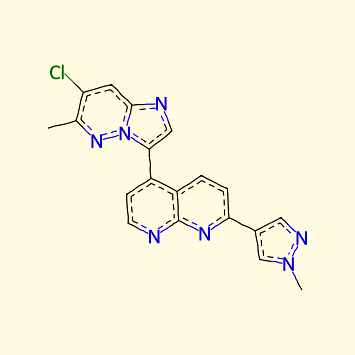 Cc1nn2c(-c3ccnc4nc(-c5cnn(C)c5)ccc34)cnc2cc1Cl